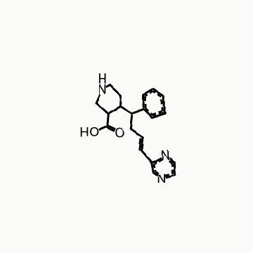 O=C(O)C1CNCCC1C(CC=Cc1cnccn1)c1ccccc1